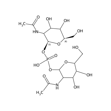 CC(=O)NC1C(OP(=O)(O)O[C@@H]2O[C@H](CO)C(O)C(O)C2NC(C)=O)OC(CO)C(O)C1O